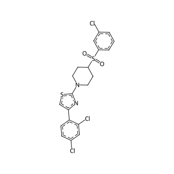 O=S(=O)(c1cccc(Cl)c1)C1CCN(c2nc(-c3ccc(Cl)cc3Cl)cs2)CC1